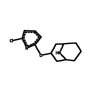 Clc1cccc(OC2CC3CCCC(C2)N3)n1